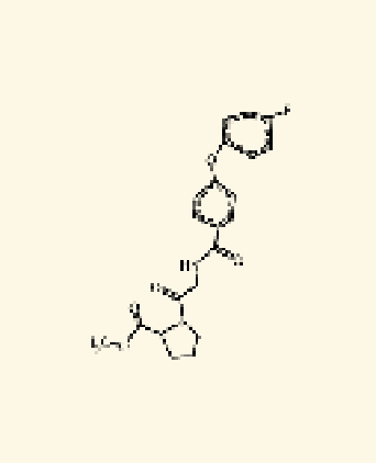 COC(=O)C1CCCN1C(=O)CNC(=O)c1ccc(Oc2ccc(F)cc2)cc1